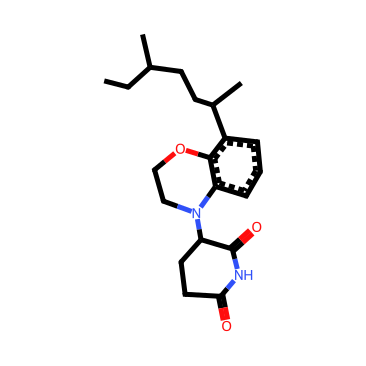 CCC(C)CCC(C)c1cccc2c1OCCN2C1CCC(=O)NC1=O